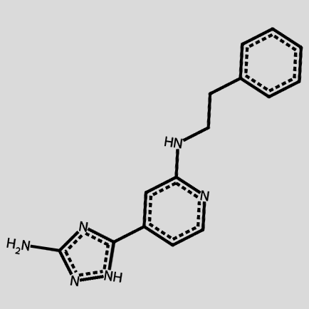 Nc1n[nH]c(-c2ccnc(NCCc3ccccc3)c2)n1